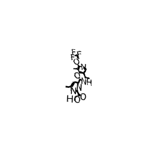 Cc1cc(C(=O)NC(C)c2cnc(OCC(F)(F)F)c(C)c2)nc(C(=O)O)n1